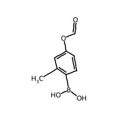 Cc1cc(OC=O)ccc1B(O)O